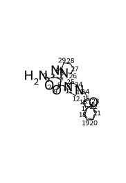 NC(=O)c1nc2n(c1C(=O)N1CCN(Cc3cc4ccccc4o3)CC1)CCCC2